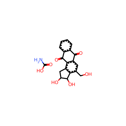 NC(=O)O.O=C1c2ccccc2C(=O)c2c1cc(CO)c1c2CC(O)C1O